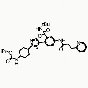 CC(C)OC(=O)NC1CCC(c2ncc(-c3ccc(NC(=O)CCc4ccccn4)cc3S(=O)(=O)NC(C)(C)C)s2)CC1